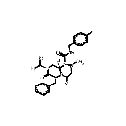 CCC(CC)N1C[C@H]2N(C(=O)CN(C)N2C(=O)NCc2ccc(F)cc2)[C@@H](Cc2ccccc2)C1=O